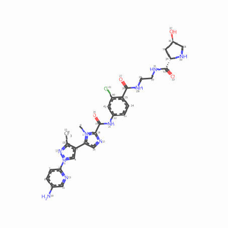 Cn1c(-c2cn(-c3ccc(N)cn3)nc2C(F)(F)F)cnc1C(=O)Nc1ccc(C(=O)NCCNC(=O)[C@@H]2C[C@@H](O)CN2)c(Cl)c1